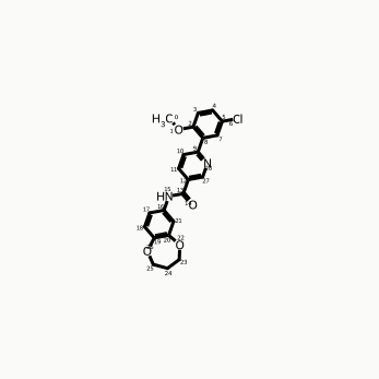 COc1ccc(Cl)cc1-c1ccc(C(=O)Nc2ccc3c(c2)OCCCO3)cn1